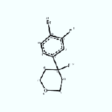 Fc1cc(C2(F)CCOCC2)ccc1Br